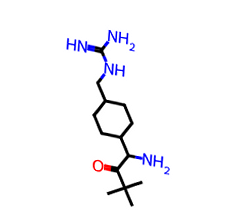 CC(C)(C)C(=O)C(N)C1CCC(CNC(=N)N)CC1